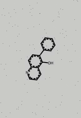 Oc1c(-c2ccccc2)ccc2ncccc12